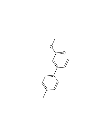 C=CC(=CC(=O)OC)c1ccc(C)cc1